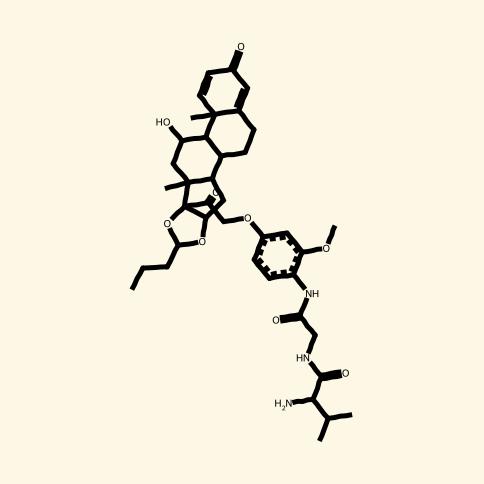 CCCC1OC2CC3C4CCC5=CC(=O)C=CC5(C)C4C(O)CC3(C)C2(C(=O)COc2ccc(NC(=O)CNC(=O)C(N)C(C)C)c(OC)c2)O1